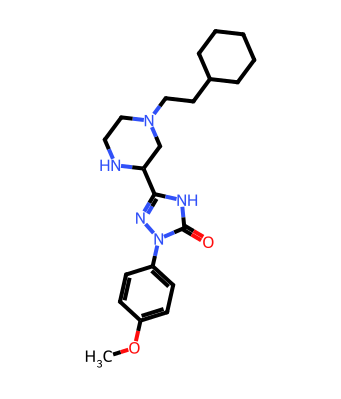 COc1ccc(-n2nc(C3CN(CCC4CCCCC4)CCN3)[nH]c2=O)cc1